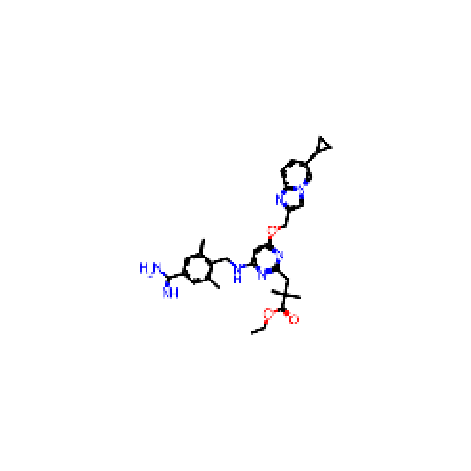 CCOC(=O)C(C)(C)Cc1nc(NCc2c(C)cc(C(=N)N)cc2C)cc(OCc2cn3cc(C4CC4)ccc3n2)n1